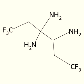 NC(CC(F)(F)F)C(N)(N)CC(F)(F)F